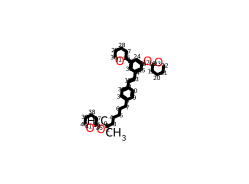 CC(C)(CCCCCc1ccc(C=Cc2cc(OC3CCCCO3)cc(C3CCCCO3)c2)cc1)OC1CCCCO1